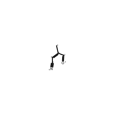 CC([C]=O)=CC#N